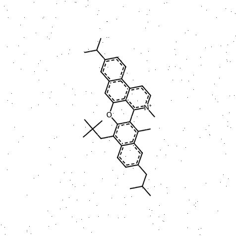 Cc1c2c(c(CC(C)(C)C)c3ccc(CC(C)C)cc13)Oc1cc3cc(C(C)C)ccc3c3cc[n+](C)c-2c13